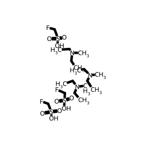 CCN(C)CC.CCN(C)CC.CCN(C)CC.O=S(=O)(O)CF.O=S(=O)(O)CF.O=S(=O)(O)CF